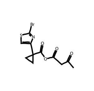 CC(=O)CC(=O)OC(=O)C1(c2csc(Br)n2)CC1